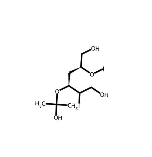 CC(C)(O)O[C@@H](C[C@@H](CO)OI)C(I)CO